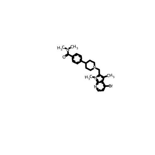 Cc1c(CN2CCC(c3ccc(C(=O)N(C)C)cc3)CC2)n(C)c2nccc(Br)c12